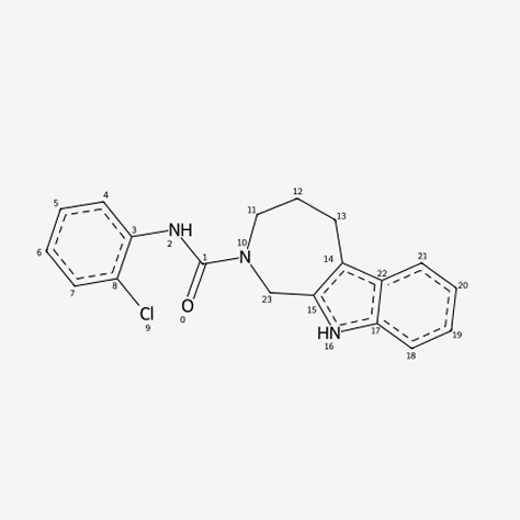 O=C(Nc1ccccc1Cl)N1CCCc2c([nH]c3ccccc23)C1